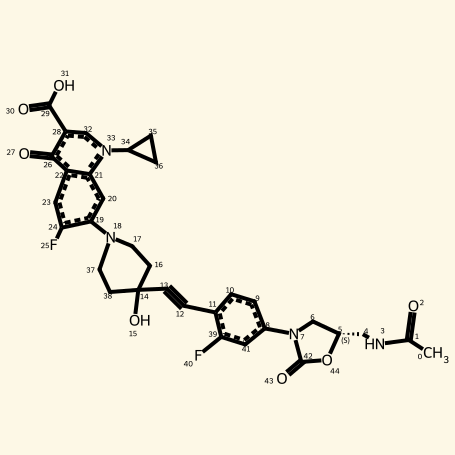 CC(=O)NC[C@H]1CN(c2ccc(C#CC3(O)CCN(c4cc5c(cc4F)c(=O)c(C(=O)O)cn5C4CC4)CC3)c(F)c2)C(=O)O1